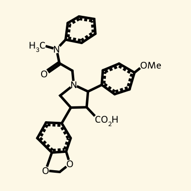 COc1ccc(C2C(C(=O)O)C(c3ccc4c(c3)OCO4)CN2CC(=O)N(C)c2ccccc2)cc1